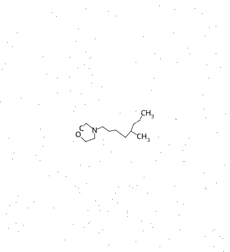 CCCC(C)CCCCN1CCOCC1